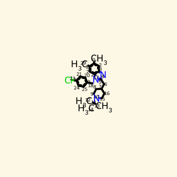 Cc1cc2nc(CC3CCN(C(C)(C)C)CC3)n(Cc3ccc(Cl)cc3)c2cc1C